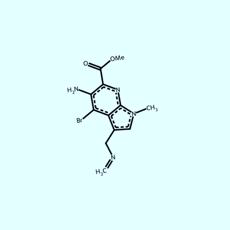 C=NCc1cn(C)c2nc(C(=O)OC)c(N)c(Br)c12